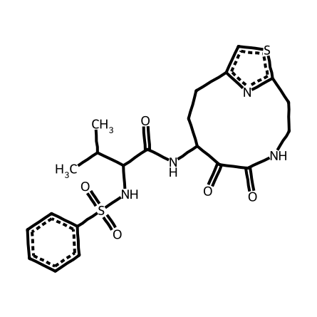 CC(C)C(NS(=O)(=O)c1ccccc1)C(=O)NC1CCc2csc(n2)CCNC(=O)C1=O